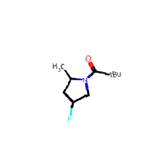 CC1CC(F)CN1C(=O)C(C)(C)C